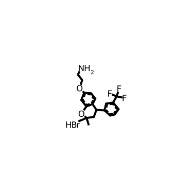 Br.CC1(C)CC(c2cccc(C(F)(F)F)c2)c2ccc(OCCN)cc2O1